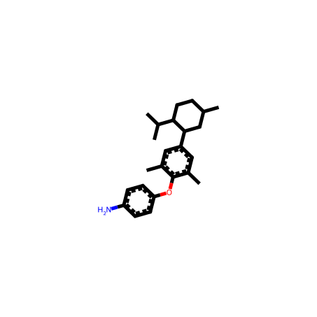 Cc1cc(C2CC(C)CCC2C(C)C)cc(C)c1Oc1ccc(N)cc1